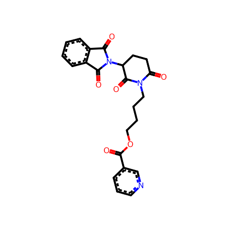 O=C(OCCCCN1C(=O)CCC(N2C(=O)c3ccccc3C2=O)C1=O)c1cccnc1